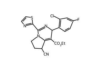 CCOC(=O)C1=C2C(C#N)CCN2C(c2nccs2)=NC1c1ccc(F)cc1Cl